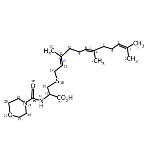 CC(C)=CCC/C(C)=C/CC/C(C)=C/CSCC(NC(=O)N1CCOCC1)C(=O)O